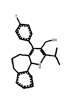 CC(C)C1=C(CO)C(c2ccc(F)cc2)=C2CCCc3ccccc3C2N1